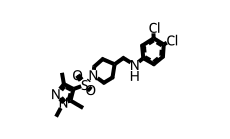 Cc1nn(C)c(C)c1S(=O)(=O)N1CCC(CNc2ccc(Cl)c(Cl)c2)CC1